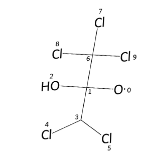 [O]C(O)(C(Cl)Cl)C(Cl)(Cl)Cl